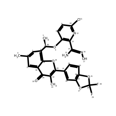 Cc1cc([C@@H](C)Oc2ccc(Cl)nc2C(N)=NO)c2oc(-c3ccc4c(c3)OC(F)(F)O4)c(C)c(=O)c2c1